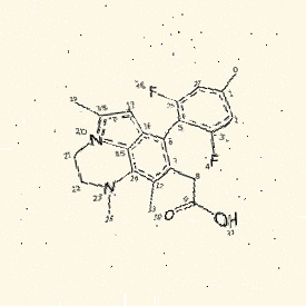 Cc1cc(F)c(-c2c(CC(=O)O)c(C)c3c4c2cc(C)n4CCN3C)c(F)c1